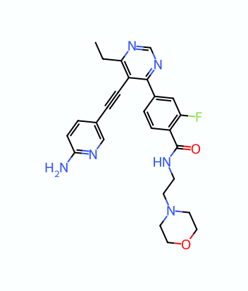 CCc1ncnc(-c2ccc(C(=O)NCCN3CCOCC3)c(F)c2)c1C#Cc1ccc(N)nc1